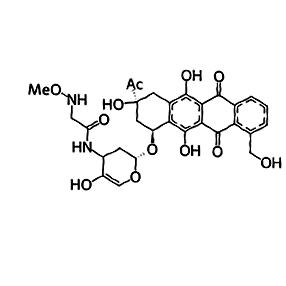 CONCC(=O)NC1C[C@H](O[C@H]2C[C@](O)(C(C)=O)Cc3c(O)c4c(c(O)c32)C(=O)c2c(CO)cccc2C4=O)OC=C1O